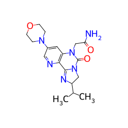 CC(C)C1CN2C(=O)N(CC(N)=O)c3cc(N4CCOCC4)cnc3C2=N1